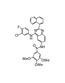 COc1cc(C(=O)Nc2ccc3nc(-c4cccc5ccccc45)nc(Nc4ccc(F)c(Cl)c4)c3c2)cc(OC)c1OC